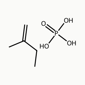 C=C(C)CC.O=P(O)(O)O